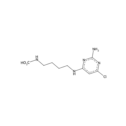 Nc1nc(Cl)cc(NCCCCNC(=O)O)n1